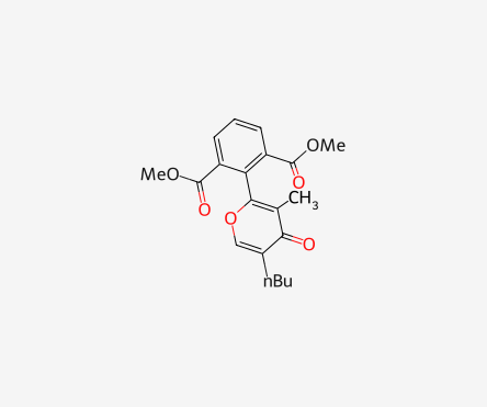 CCCCc1coc(-c2c(C(=O)OC)cccc2C(=O)OC)c(C)c1=O